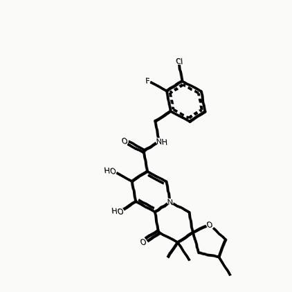 CC1COC2(C1)CN1C=C(C(=O)NCc3cccc(Cl)c3F)C(O)C(O)=C1C(=O)C2(C)C